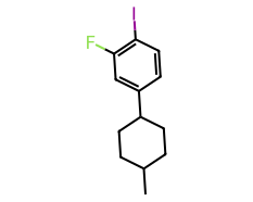 CC1CCC(c2ccc(I)c(F)c2)CC1